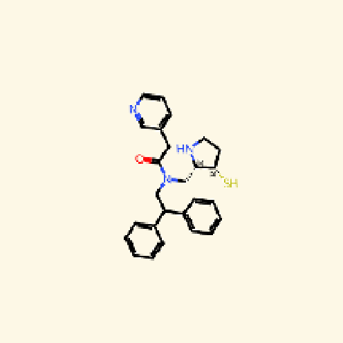 O=C(Cc1cccnc1)N(CC(c1ccccc1)c1ccccc1)C[C@@H]1NCC[C@@H]1S